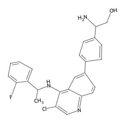 CC(Nc1c(Cl)cnc2ccc(-c3ccc(C(N)CO)cc3)cc12)c1ccccc1F